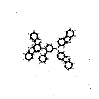 c1ccc(-c2cc(N(c3ccc4c(c3)oc3ccccc34)c3ccc4c(c3)oc3ccccc34)ccc2-c2cc3c4ccccc4oc3c3c2oc2ccccc23)cc1